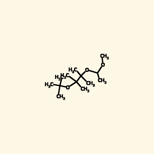 COC(C)OC(C)(C)C(C)(C)OC(C)(C)C